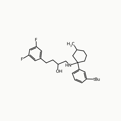 CC1CCCC(NCC(O)CCc2cc(F)cc(F)c2)(c2cccc(C(C)(C)C)c2)C1